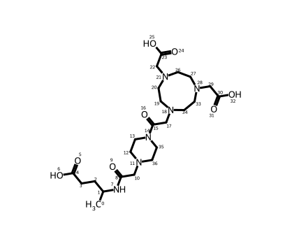 CC(CCC(=O)O)NC(=O)CN1CCN(C(=O)CN2CCN(CC(=O)O)CCN(CC(=O)O)CC2)CC1